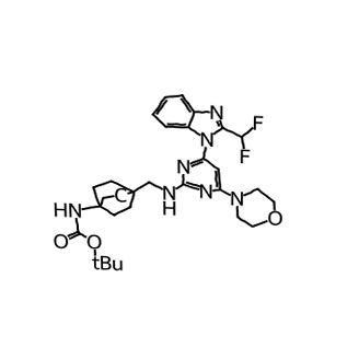 CC(C)(C)OC(=O)NC12CCC(CNc3nc(N4CCOCC4)cc(-n4c(C(F)F)nc5ccccc54)n3)(CC1)CC2